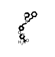 NC(=O)c1ccc(Oc2ccc(CCN(CCCC3CCCCC3)Cc3ccccc3)cc2)nc1